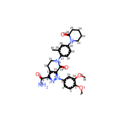 COc1ccc(-n2nc(C(N)=O)c3c2C(=O)N(c2ccc(N4CCCCC4=O)cc2C)CC3)cc1OC